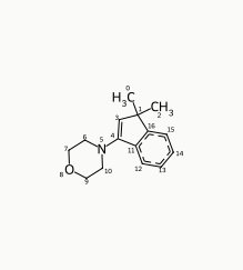 CC1(C)C=C(N2CCOCC2)c2ccccc21